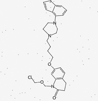 O=C1CCc2ccc(OCCCCN3CCN(c4cccc5sccc45)CC3)cc2N1COCCl